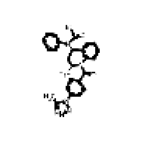 CCC(=O)N(c1ccccc1)[C@H]1C[C@@H](C)N(C(=O)c2ccc(-n3nnnc3C)cc2)c2ccccc21